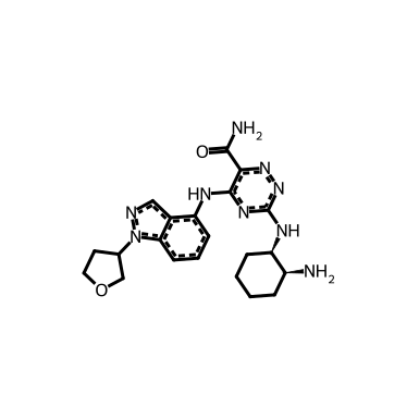 NC(=O)c1nnc(N[C@@H]2CCCC[C@@H]2N)nc1Nc1cccc2c1cnn2C1CCOC1